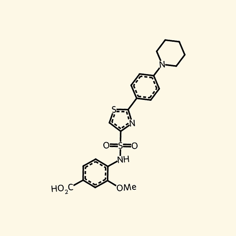 COc1cc(C(=O)O)ccc1NS(=O)(=O)c1csc(-c2ccc(N3CCCCC3)cc2)n1